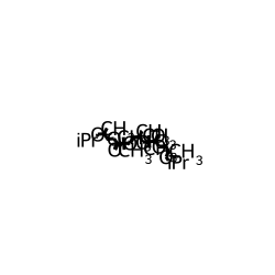 CC(C)OC(C)COC(=O)C(C)(C)OCC(C)OC(C)(C)C(=O)OCC(C)OC(C)C